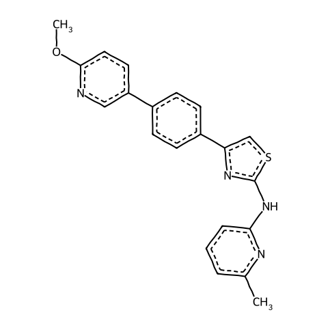 COc1ccc(-c2ccc(-c3csc(Nc4cccc(C)n4)n3)cc2)cn1